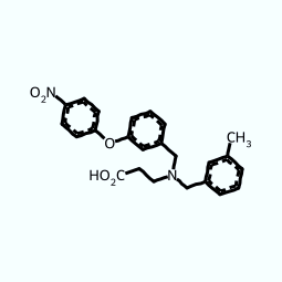 Cc1cccc(CN(CCC(=O)O)Cc2cccc(Oc3ccc([N+](=O)[O-])cc3)c2)c1